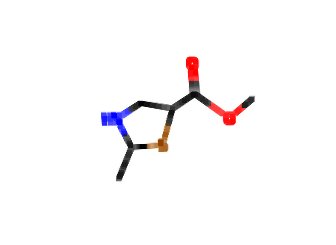 COC(=O)C1CNC(C)S1